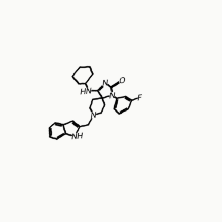 O=C1N=C(NC2CCCCC2)C2(CCN(Cc3cc4ccccc4[nH]3)CC2)N1c1cccc(F)c1